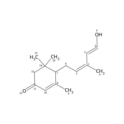 CC(C=CO)=CCC1C(C)=CC(=O)CC1(C)C